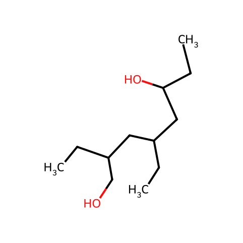 CCC(O)CC(CC)CC(CC)CO